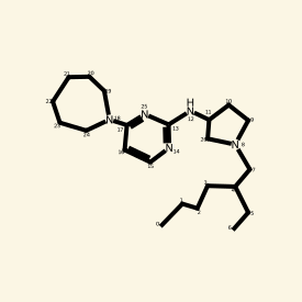 CCCCC(CC)CN1CCC(Nc2nccc(N3CCCCCC3)n2)C1